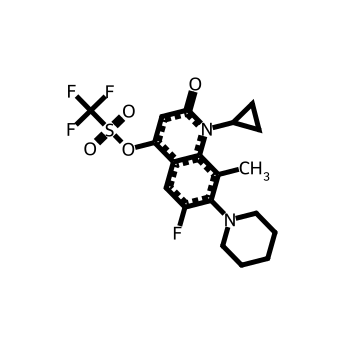 Cc1c(N2CCCCC2)c(F)cc2c(OS(=O)(=O)C(F)(F)F)cc(=O)n(C3CC3)c12